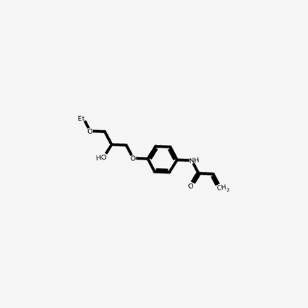 C=CC(=O)Nc1ccc(OCC(O)COCC)cc1